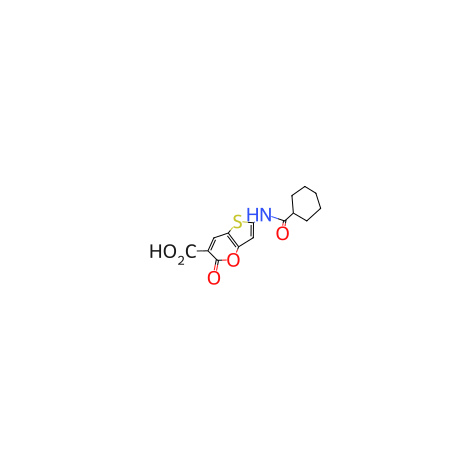 O=C(O)c1cc2sc(NC(=O)C3CCCCC3)cc2oc1=O